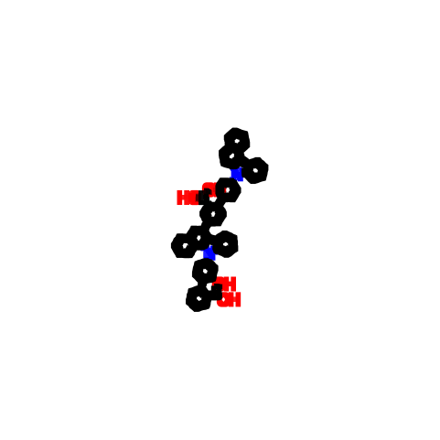 OB(O)c1ccccc1-c1ccc(-n2c3ccccc3c3c(-c4ccc(-c5ccc(-n6c7ccccc7c7c8ccccc8ccc76)cc5)c(B(O)O)c4)cc4ccccc4c32)cc1